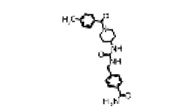 Cc1ccc(C(=O)N2CCC(NC(=O)NCc3ccc(C(N)=O)cc3)CC2)cc1